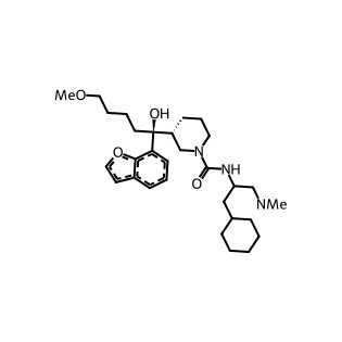 CNCC(CC1CCCCC1)NC(=O)N1CCC[C@@H]([C@@](O)(CCCCOC)c2cccc3ccoc23)C1